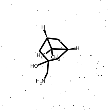 CC1(C)[C@@H]2C[C@H]1CC(O)(CN)C2